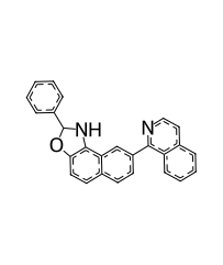 c1ccc(C2Nc3c(ccc4ccc(-c5nccc6ccccc56)cc34)O2)cc1